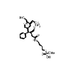 C=C/C(C/C(=C\C)CCO)=C(/C(=C\N=C)CC(=O)NCCCCOP(=O)(O)OC)c1ccccc1